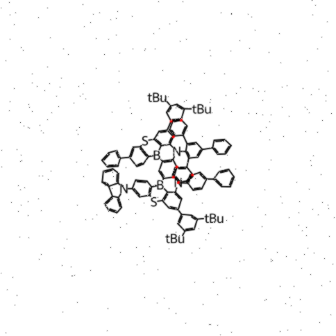 CC(C)(C)c1cc(-c2cc3c4c(c2)N(c2ccc(-c5ccccc5)cc2)c2cc5c(cc2B4c2ccc(-n4c6ccccc6c6ccccc64)cc2S3)B2c3ccc(-c4ccccc4)cc3Sc3cc(-c4cc(C(C)(C)C)cc(C(C)(C)C)c4)cc(c32)N5c2c(-c3ccccc3)cc(-c3ccccc3)cc2-c2ccccc2)cc(C(C)(C)C)c1